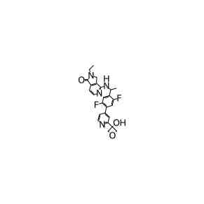 CCN1Cc2c(ccnc2NC(C)c2cc(F)c(-c3ccnc(C4(O)COC4)c3)cc2F)C1=O